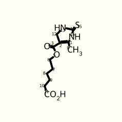 CC1=C(C(=O)OCCCCCC(=O)O)CNC(=S)N1